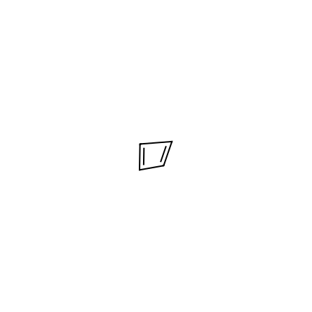 C1=CC=C1